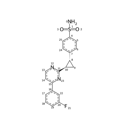 NS(=O)(=O)c1ccc([C@@H]2C[C@H]2c2nccc(-c3cccc(F)c3)n2)cc1